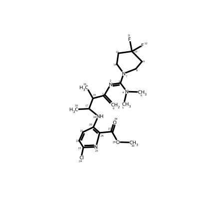 C=C(/N=C(\N(C)C)N1CCC(F)(F)CC1)C(C)C(C)Nc1ccc(Cl)nc1C(=O)OC